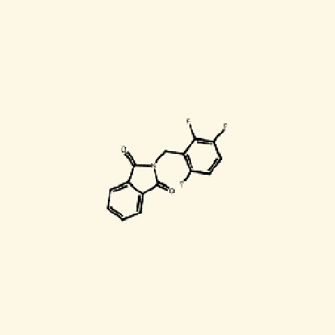 O=C1c2ccccc2C(=O)N1Cc1c(F)ccc(F)c1F